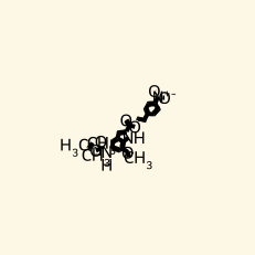 COc1cc(NC(=O)OC(C)(C)C)cc2cc(C(=O)OCCc3ccc([N+](=O)[O-])cc3)[nH]c12